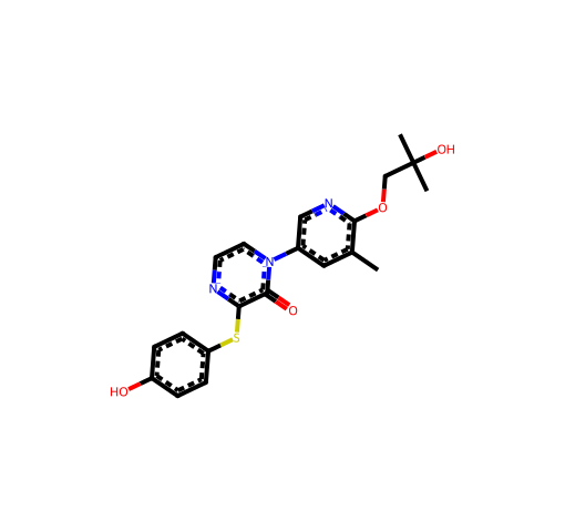 Cc1cc(-n2ccnc(Sc3ccc(O)cc3)c2=O)cnc1OCC(C)(C)O